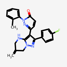 C=C1CNc2c(-c3ccc(=O)n(-c4ccccc4C)n3)c(-c3ccc(F)cc3)nn2C1